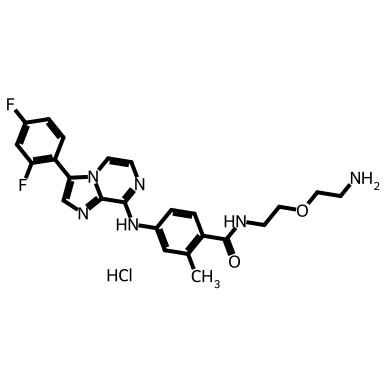 Cc1cc(Nc2nccn3c(-c4ccc(F)cc4F)cnc23)ccc1C(=O)NCCOCCN.Cl